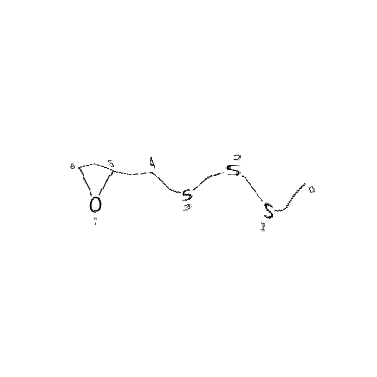 CSSSCC1CO1